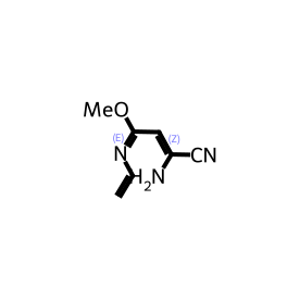 C=C/N=C(\C=C(/N)C#N)OC